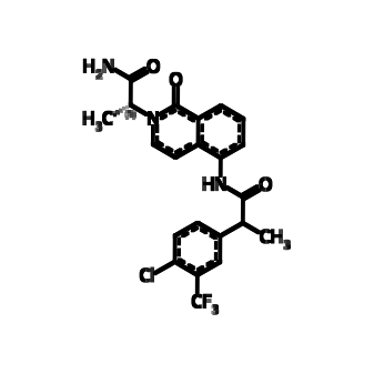 CC(C(=O)Nc1cccc2c(=O)n([C@H](C)C(N)=O)ccc12)c1ccc(Cl)c(C(F)(F)F)c1